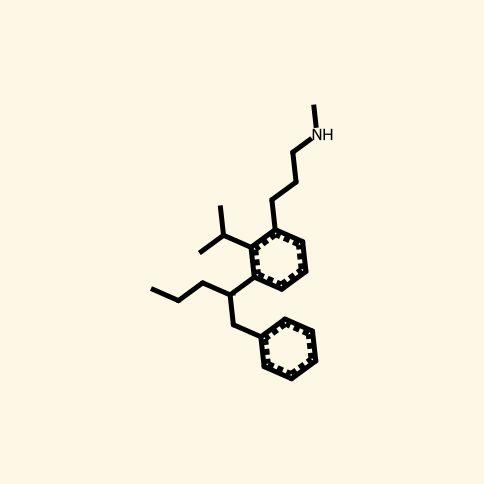 CCC[C](Cc1ccccc1)c1cccc(CCCNC)c1C(C)C